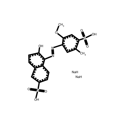 COc1cc(S(=O)(=O)O)c(C)cc1N=Nc1c(O)ccc2cc(S(=O)(=O)O)ccc12.[NaH].[NaH]